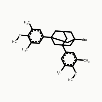 Cc1cc(C23CC4CC(c5cc(C)c(OC#N)c(C)c5)(C2)CC(C(C)(C)C)(C4)C3)cc(C)c1OC#N